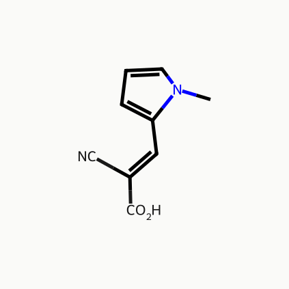 Cn1cccc1/C=C(\C#N)C(=O)O